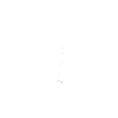 CCCCC=CC=CC=CC=CC=CC=CCCCCCCCCCCCCCCC=CCCC(CCCCC)C(N)=O